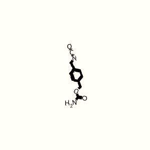 NC(=O)OCc1ccc(CN=C=O)cc1